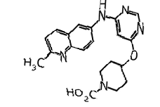 Cc1ccc2cc(Nc3cc(OC4CCN(C(=O)O)CC4)ncn3)ccc2n1